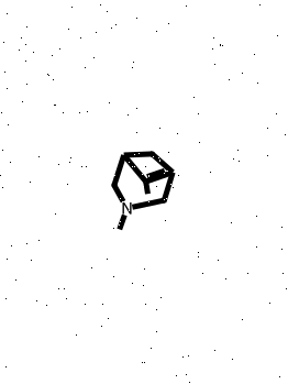 CC1=C2CC1CN(C)C2